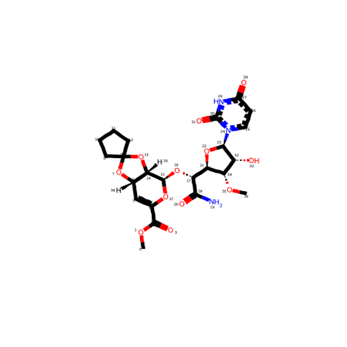 COC(=O)C1=C[C@@H]2OC3(CCCC3)O[C@@H]2[C@@H](O[C@@H](C(N)=O)[C@H]2O[C@@H](n3ccc(=O)[nH]c3=O)[C@H](O)[C@@H]2OC)O1